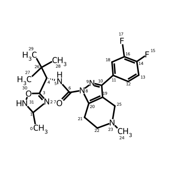 CC1N=C([C@@H](NC(=O)n2nc(-c3ccc(F)c(F)c3)c3c2CCN(C)C3)C(C)(C)C)ON1